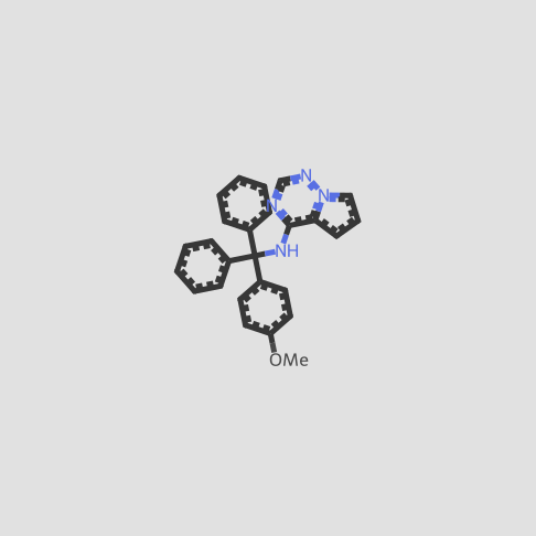 COc1ccc(C(Nc2ncnn3cccc23)(c2ccccc2)c2ccccc2)cc1